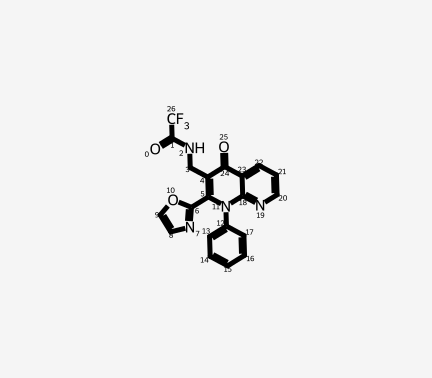 O=C(NCc1c(-c2ncco2)n(-c2ccccc2)c2ncccc2c1=O)C(F)(F)F